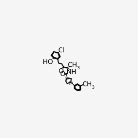 Cc1cccc([C@H]2CC[C@@H](C(=O)N[C@@H](C)C(=O)CCc3cc(Cl)ccc3O)C2)c1